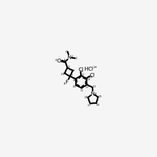 CN(C)C(=O)C1CC(F)(c2ccc(CN3CCCC3)c(Cl)c2Cl)C1.Cl